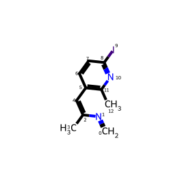 C=N/C(C)=C\c1ccc(I)nc1C